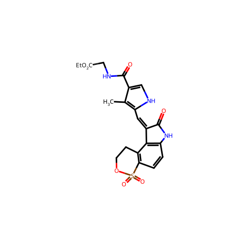 CCOC(=O)CNC(=O)c1c[nH]c(/C=C2\C(=O)Nc3ccc4c(c32)CCOS4(=O)=O)c1C